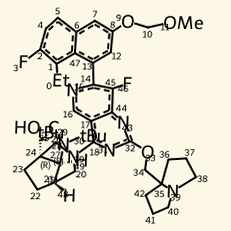 CCc1c(F)ccc2cc(OCOC)cc(-c3ncc4c(N5C[C@@H]6CC[C@@](C(C)(C)C)(C5)[C@H]6N(C(=O)O)C(C)(C)C)nc(OCC56CCCN5CCC6)nc4c3F)c12